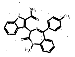 Cc1ccc(C2=NC(c3c(C(N)=O)[nH]c4ccccc34)C(=O)N(C)c3ccccc32)cc1